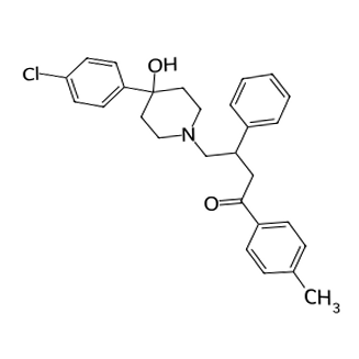 Cc1ccc(C(=O)CC(CN2CCC(O)(c3ccc(Cl)cc3)CC2)c2ccccc2)cc1